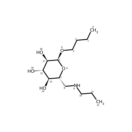 CCCCO[C@H]1O[C@H](CNCCC)[C@@H](O)[C@H](O)[C@H]1O